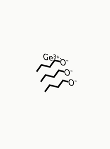 CCCC[O-].CCCC[O-].CCCC[O-].[Ge+3]